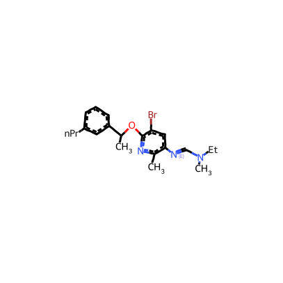 CCCc1cccc(C(C)Oc2nc(C)c(/N=C/N(C)CC)cc2Br)c1